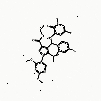 CCOC(=O)c1nn(-c2cnc(OC)nc2OC)c(C(C)C)c1C(Nc1cc(Cl)cn(C)c1=O)c1ccc(Cl)cc1C